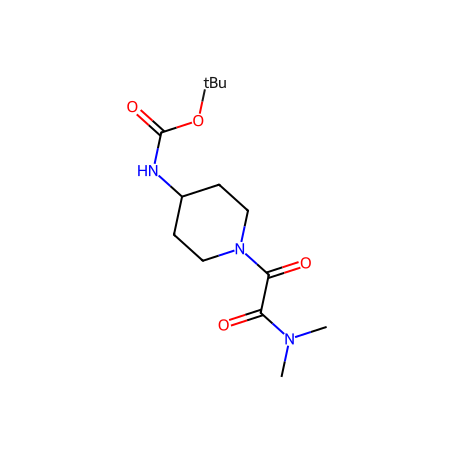 CN(C)C(=O)C(=O)N1CCC(NC(=O)OC(C)(C)C)CC1